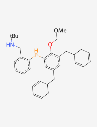 COCOc1c(CC2C=CC=CC2)cc(CC2C=CC=CC2)cc1Pc1ccccc1CNC(C)(C)C